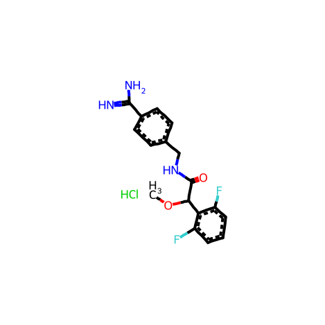 COC(C(=O)NCc1ccc(C(=N)N)cc1)c1c(F)cccc1F.Cl